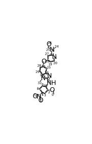 COc1cc([N+](=O)[O-])ccc1Nc1nc2cc(Oc3ccnc(N(C)C=O)c3)ccc2n1C